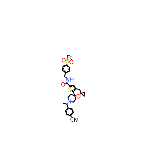 CCS(=O)(=O)c1ccc(CNC(=O)c2cc3c(s2)C2(CCN(C(C)c4ccc(C#N)cc4)CC2)OC2(CC2)C3)cc1